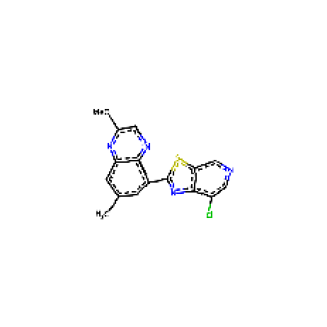 COc1cnc2c(-c3nc4c(Cl)cncc4s3)cc(C)cc2n1